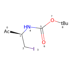 CC(=O)[C@H](CI)NC(=O)OC(C)(C)C